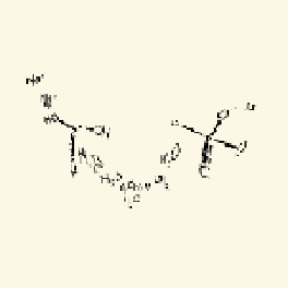 O.O.O.O.O.O.O.O=P([O-])([O-])[O-].O=S(O)O.[Na+].[Na+].[Na+]